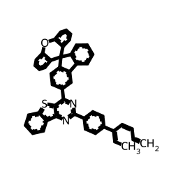 C=C/C=C\C(=C/C)c1ccc(-c2nc(-c3ccc4c(c3)-c3ccccc3C43c4ccccc4Oc4ccccc43)c3sc4ccccc4c3n2)cc1